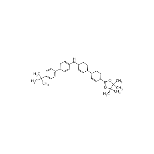 CC(C)(C)c1ccc(-c2ccc(NC3C=CC(C4C=CC(B5OC(C)(C)C(C)(C)O5)=CC4)CC3)cc2)cc1